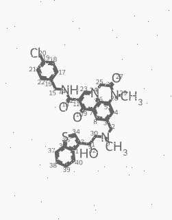 CN(Cc1cc2c3c(c1)c(=O)c(C(=O)NCc1ccc(Cl)cc1)cn3CC(=O)N2C)C[C@H](O)c1csc2ccccc12